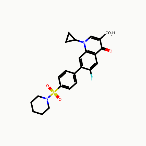 O=C(O)c1cn(C2CC2)c2cc(-c3ccc(S(=O)(=O)N4CCCCC4)cc3)c(F)cc2c1=O